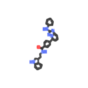 O=C(NCCC1CNc2ccccc21)c1ccc(-c2cccc3nc(Nc4ccccc4)nn23)cc1